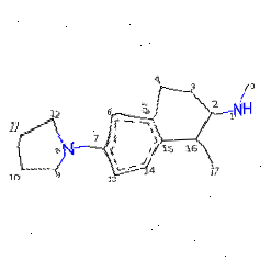 CNC1CCc2cc(N3CCCC3)ccc2C1C